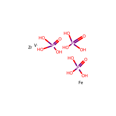 O=P(O)(O)O.O=P(O)(O)O.O=P(O)(O)O.[Fe].[V].[Zr]